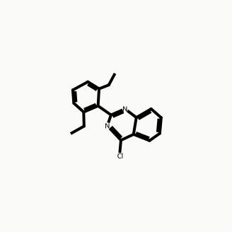 CCc1cccc(CC)c1-c1nc(Cl)c2ccccc2n1